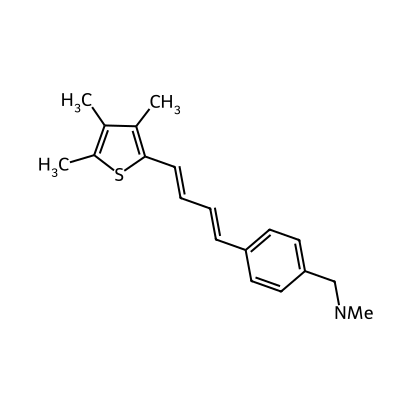 CNCc1ccc(/C=C/C=C/c2sc(C)c(C)c2C)cc1